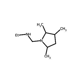 CCNCN1C(C)CC(C)C1C